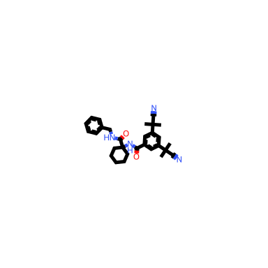 CC(C)(C#N)c1cc(C(=O)NC2(C(=O)NCc3ccccc3)CCCCC2)cc(C(C)(C)C#N)c1